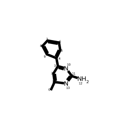 Cc1cc(-c2ccccc2)nc(N)n1